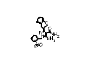 NC(=O)c1c(C2COc3ccccc3C2)nn(Cc2ccccc2[N+](=O)[O-])c1N